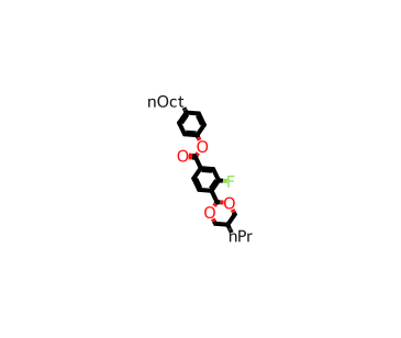 CCCCCCCCc1ccc(OC(=O)c2ccc(C3OCC(CCC)CO3)c(F)c2)cc1